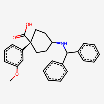 COc1cccc([C@]2(C(=O)O)CC[C@H](NC(c3ccccc3)c3ccccc3)CC2)c1